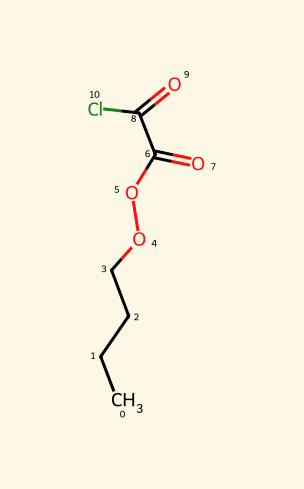 CCCCOOC(=O)C(=O)Cl